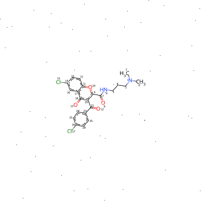 CN(C)CCCNC(=O)c1oc2ccc(Cl)cc2c(=O)c1C(=O)c1ccc(Cl)cc1